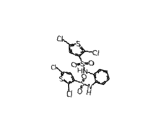 O=S(=O)(Nc1ccccc1NS(=O)(=O)c1cc(Cl)sc1Cl)c1cc(Cl)sc1Cl